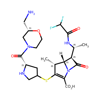 C[C@@H](NC(=O)C(F)F)[C@H]1C(=O)N2C(C(=O)O)=C(SC3CN[C@H](C(=O)N4CCO[C@@H](CN)C4)C3)[C@H](C)[C@H]12